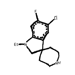 CCN1CC2(CCNCC2)c2cc(Cl)c(F)cc21